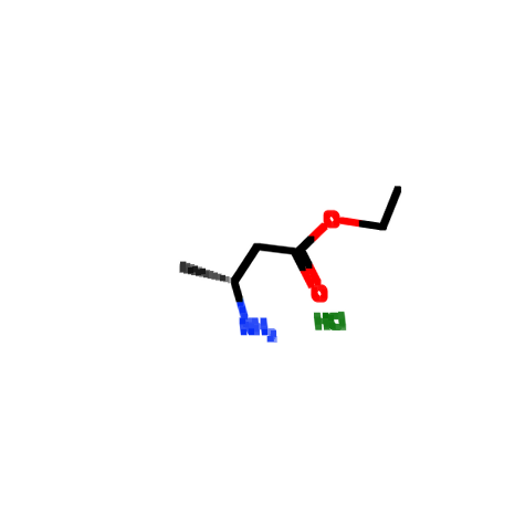 CCOC(=O)C[C@@H](C)N.Cl